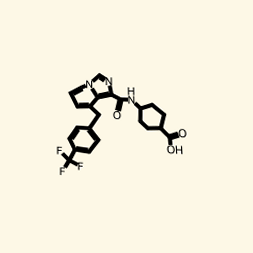 O=C(NC1CCC(C(=O)O)CC1)c1ncn2cccc(Cc3ccc(C(F)(F)F)cc3)c12